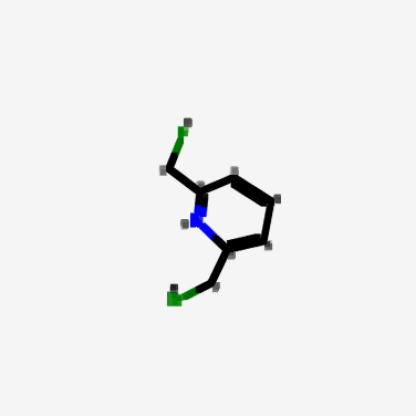 FCc1cccc(CBr)n1